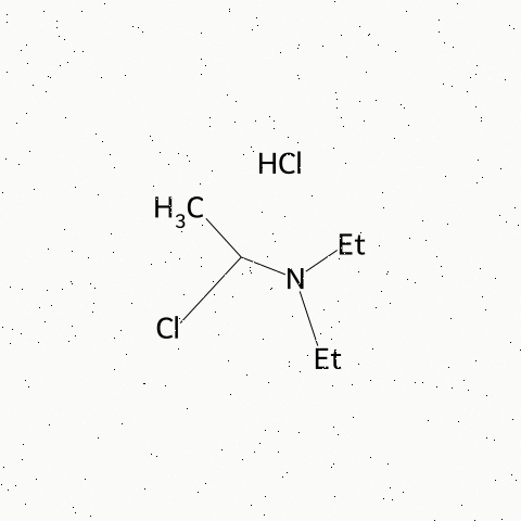 CCN(CC)C(C)Cl.Cl